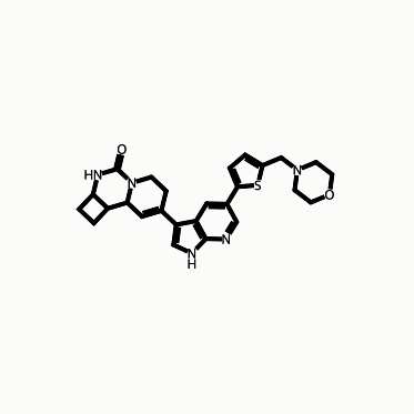 O=C1NC2CCC2C2C=C(c3c[nH]c4ncc(-c5ccc(CN6CCOCC6)s5)cc34)CCN12